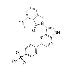 CC(C)S(=O)(=O)c1ccc(-c2cnc3[nH]cc(N4Cc5cccc(N(C)C)c5C4=O)c3n2)cc1